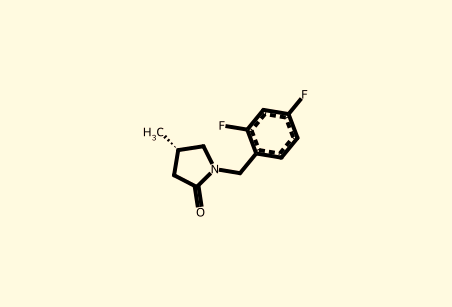 C[C@H]1CC(=O)N(Cc2ccc(F)cc2F)C1